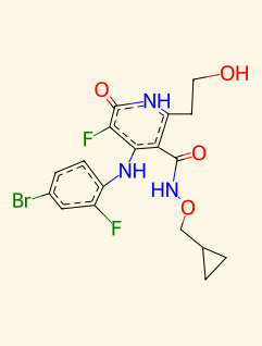 O=C(NOCC1CC1)c1c(CCO)[nH]c(=O)c(F)c1Nc1ccc(Br)cc1F